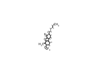 C/C=C/CCOc1ccc2c(oc3c(C)c(OC(F)(F)F)ccc32)c1F